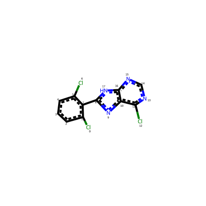 Clc1cccc(Cl)c1-c1nc2c(Cl)ncnc2[nH]1